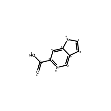 O=C(O)c1cc2sccc2cn1